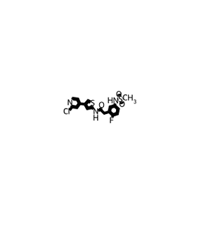 CS(=O)(=O)Nc1ccc(F)c(CC(=O)Nc2cc(-c3ccnc(Cl)c3)cs2)c1